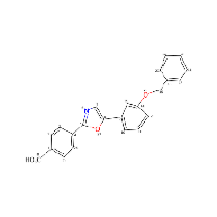 O=C(O)c1ccc(-c2ncc(-c3cccc(OCc4ccccc4)c3)o2)cc1